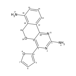 Nc1nc(-c2ccco2)c2c(n1)-c1cccc(N)c1CO2